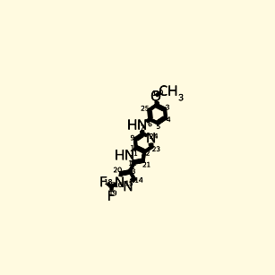 COc1cccc(Nc2cc3[nH]c(-c4cnn(C(F)F)c4)cc3cn2)c1